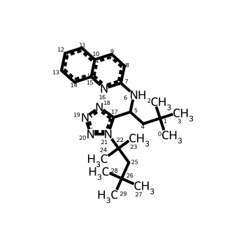 CC(C)(C)CC(Nc1ccc2ccccc2n1)c1nnnn1C(C)(C)CC(C)(C)C